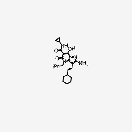 CC(C)Cn1c(=O)c(C(=O)NC2CC2)c(O)n2nc(N)c(C=CC3CCCCC3)c12